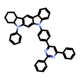 c1ccc(-c2cc(-c3ccc(-n4c5ccccc5c5cc6c(cc54)N(c4ccccc4)C4CCCCC64)cc3)nc(-c3ccccc3)n2)cc1